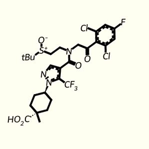 CC(C)(C)[S+]([O-])CCN(CC(=O)c1c(Cl)cc(F)cc1Cl)C(=O)c1cnn([C@H]2CC[C@](C)(C(=O)O)CC2)c1C(F)(F)F